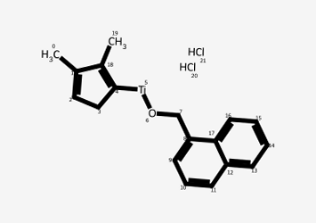 CC1=CC[C]([Ti][O]Cc2cccc3ccccc23)=C1C.Cl.Cl